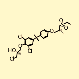 CCS(=O)(=O)C[C@H](C)COc1ccc(C(C)(C)c2cc(Cl)c(OC[C@@H](O)CCl)c(Cl)c2)cc1